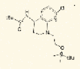 CC(C)(C)[S+]([O-])NC1CCN(CCO[Si](C)(C)C(C)(C)C)c2nc(Cl)ccc21